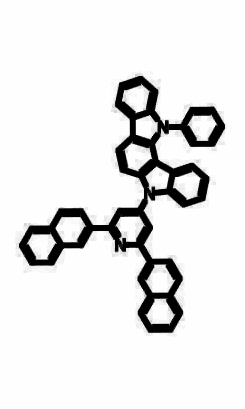 c1ccc(-n2c3ccccc3c3ccc4c(c5ccccc5n4-c4cc(-c5ccc6ccccc6c5)nc(-c5ccc6ccccc6c5)c4)c32)cc1